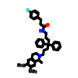 COc1cc2c(cc1OC)C(C)N(CCCC(CCCNC(=O)CCc1ccc(F)cc1)(c1ccccc1)c1ccccc1)CC2